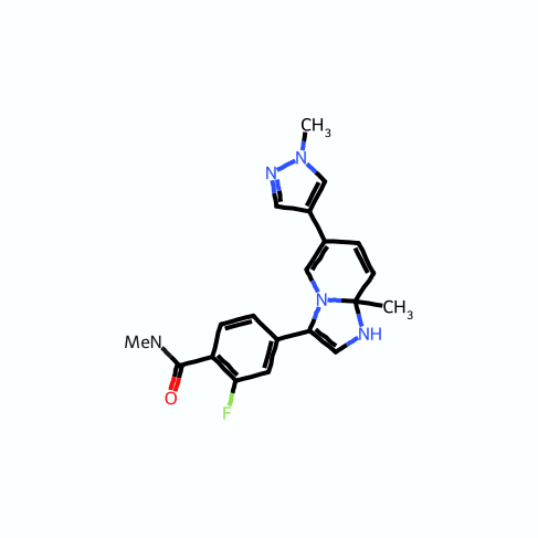 CNC(=O)c1ccc(C2=CNC3(C)C=CC(c4cnn(C)c4)=CN23)cc1F